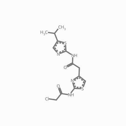 CC(C)c1cnc(NC(=O)Cc2csc(NC(=O)CCl)n2)s1